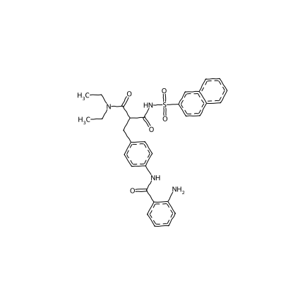 CCN(CC)C(=O)C(Cc1ccc(NC(=O)c2ccccc2N)cc1)C(=O)NS(=O)(=O)c1ccc2ccccc2c1